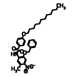 CCCCCCCCCCCCOc1ccc(S(=O)(=O)Nc2cc(C)c([N+](=O)[O-])cc2OCc2ccccc2)cc1